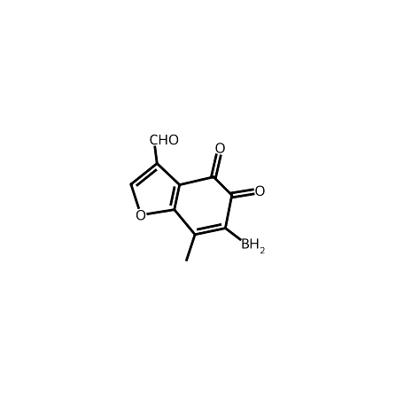 BC1=C(C)c2occ(C=O)c2C(=O)C1=O